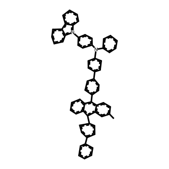 Cc1ccc2c(-c3ccc(-c4ccc(N(c5ccccc5)c5ccc(-n6c7ccccc7c7ccccc76)cc5)cc4)cc3)c3ccccc3c(-c3ccc(-c4ccccc4)cc3)c2c1